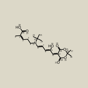 CC(=CCCN(/C=C/C=C(\O)C=C1C(=O)OC(C)(C)OC1=O)C(C)(C)C)C(=O)O